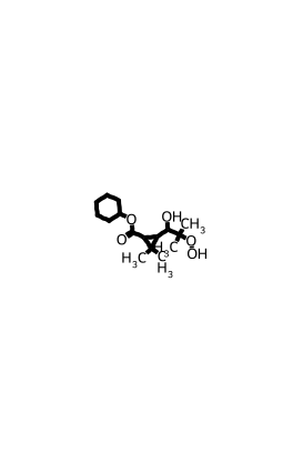 CC(C)(OO)C(O)C1C(C(=O)OC2CCCCC2)C1(C)C